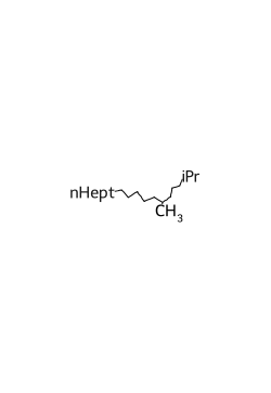 [CH2]C(C)CCCC(C)CCCCCCCCCCCC